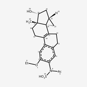 CCOc1cc2c(cc1N(C(C)=O)S(=O)(=O)O)CCC1=C2CC[C@]2(C)[C@H](O)C[C@@H]3C[C@@]132